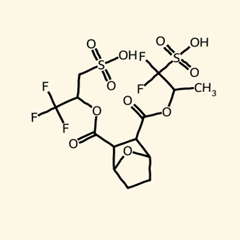 CC(OC(=O)C1C2CCC(O2)C1C(=O)OC(CS(=O)(=O)O)C(F)(F)F)C(F)(F)S(=O)(=O)O